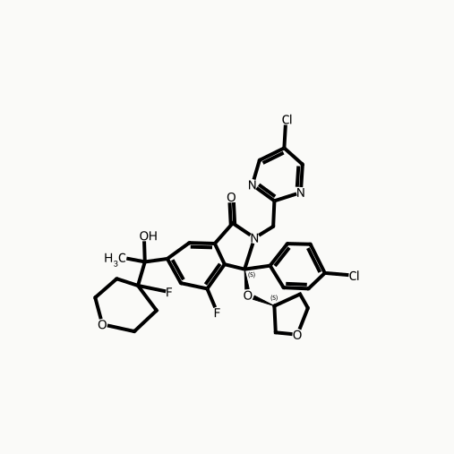 CC(O)(c1cc(F)c2c(c1)C(=O)N(Cc1ncc(Cl)cn1)[C@]2(O[C@H]1CCOC1)c1ccc(Cl)cc1)C1(F)CCOCC1